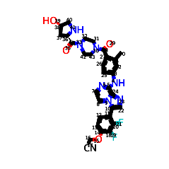 Cc1cc(Nc2nccn3c(-c4ccc(OCC#N)c(F)c4F)cnc23)ccc1C(=O)N1CCN(C(=O)[C@@H]2C[C@@H](O)CN2)CC1